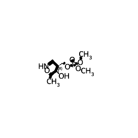 COP(=O)(OC)OC[C@@H](C=N)[C@H](O)C(C)=O